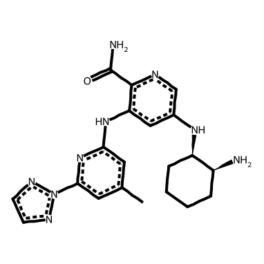 Cc1cc(Nc2cc(N[C@@H]3CCCC[C@@H]3N)cnc2C(N)=O)nc(-n2nccn2)c1